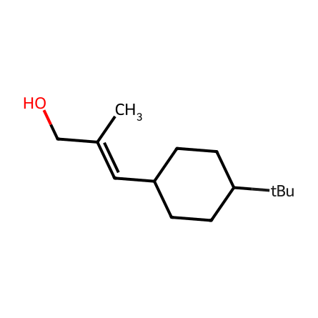 C/C(=C\C1CCC(C(C)(C)C)CC1)CO